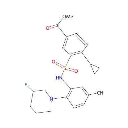 COC(=O)c1ccc(C2CC2)c(S(=O)(=O)Nc2cc(C#N)ccc2N2CCCC(F)C2)c1